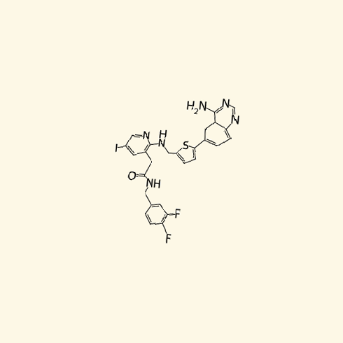 NC1=NC=NC2=CC=C(c3ccc(CNc4ncc(I)cc4CC(=O)NCc4ccc(F)c(F)c4)s3)CC21